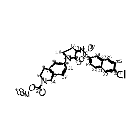 CC(C)(C)OC(=O)N1CCc2cc(N3CC/C(=N/S(=O)(=O)c4ccc5cc(Cl)ccc5c4)C3=O)ccc2C1